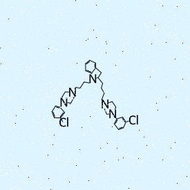 Clc1cccc(N2CCN(CCCCC3Cc4ccccc4N3CCCCN3CCN(c4cccc(Cl)c4)CC3)CC2)c1